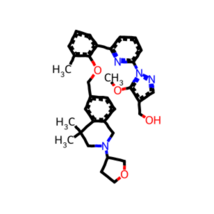 COc1c(CO)cnn1-c1cccc(-c2cccc(C)c2OCc2ccc3c(c2)C(C)(C)CN(C2CCOC2)C3)n1